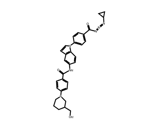 O=C(N=[N+]=NC1CC1)c1ccc(-n2ccc3cc(NC(=O)c4ccc(N5CCCC(CO)C5)cc4)ccc32)cc1